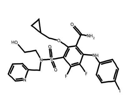 NC(=O)c1c(Nc2ccc(I)cc2)c(F)c(F)c(S(=O)(=O)N(CCO)Cc2ccccn2)c1OCC1CC1